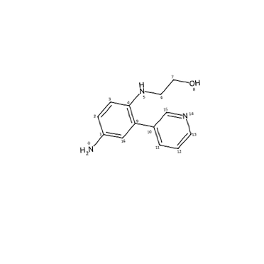 Nc1ccc(NCCO)c(-c2cccnc2)c1